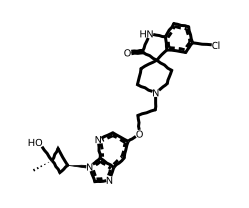 C[C@]1(O)C[C@@H](n2cnc3cc(OCCN4CCC5(CC4)C(=O)Nc4ccc(Cl)cc45)cnc32)C1